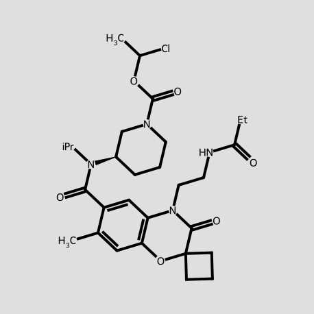 CCC(=O)NCCN1C(=O)C2(CCC2)Oc2cc(C)c(C(=O)N(C(C)C)[C@@H]3CCCN(C(=O)OC(C)Cl)C3)cc21